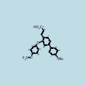 CC(C)(C)c1ccc(-c2ccc(/C=C/C(=O)O)c(Oc3ccc(OC(F)(F)F)cc3)c2)cc1